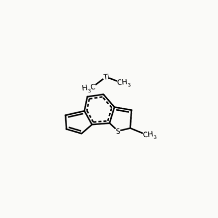 CC1C=c2ccc3c(c2S1)C=CC=3.[CH3][Ti][CH3]